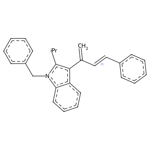 C=C(/C=C/c1ccccc1)c1c(C(C)C)n(Cc2ccccc2)c2ccccc12